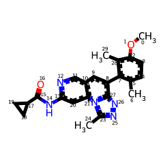 COc1ccc(C)c(-c2cc3cnc(NC(=O)C4CC4)cc3n3c(C)nnc23)c1C